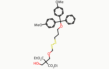 CCOC(=O)C(CO)(COCSSCCCOC(c1ccccc1)(c1ccc(OC)cc1)c1ccc(OC)cc1)C(=O)OCC